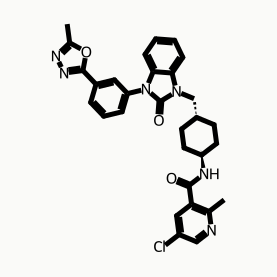 Cc1nnc(-c2cccc(-n3c(=O)n(C[C@H]4CC[C@H](NC(=O)c5cc(Cl)cnc5C)CC4)c4ccccc43)c2)o1